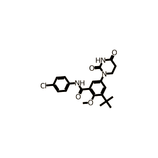 COc1c(C(=O)Nc2ccc(Cl)cc2)cc(N2CCC(=O)NC2=O)cc1C(C)(C)C